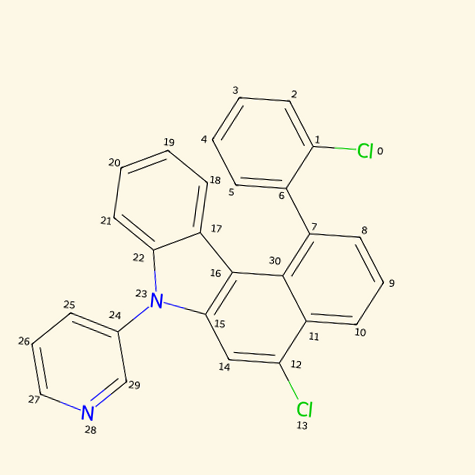 Clc1ccccc1-c1cccc2c(Cl)cc3c(c4ccccc4n3-c3cccnc3)c12